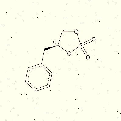 O=S1(=O)OC[C@H](Cc2ccccc2)O1